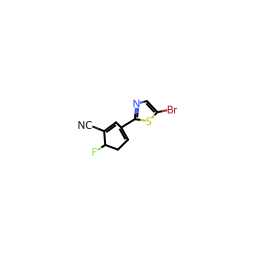 N#CC1=CC(c2ncc(Br)s2)=CCC1F